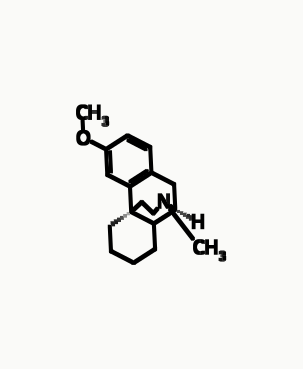 COc1ccc2c(c1)[C@]13CCCCC1[C@H](C2)N(C)CC3